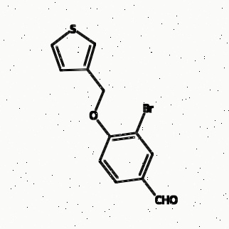 O=Cc1ccc(OCc2ccsc2)c(Br)c1